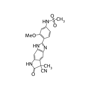 COc1cc(NS(C)(=O)=O)ccc1-c1nc2cc3c(cc2[nH]1)NC(=O)C3(C)C#N